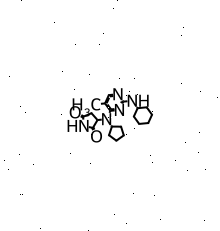 Cc1cnc(NC2CCCCC2)nc1N(C1CCCC1)C1CC(=O)NC1=O